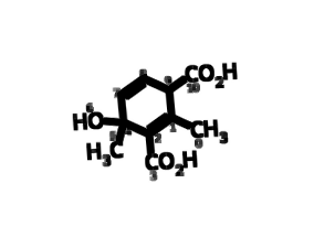 CC1=C(C(=O)O)C(C)(O)C=CC1C(=O)O